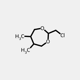 CC1COC(CCl)OCC1C